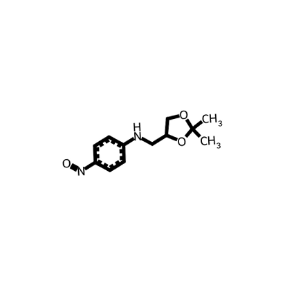 CC1(C)OCC(CNc2ccc(N=O)cc2)O1